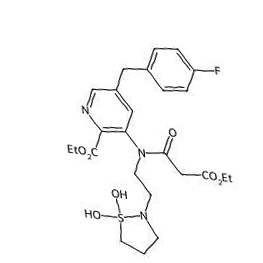 CCOC(=O)CC(=O)N(CCN1CCCS1(O)O)c1cc(Cc2ccc(F)cc2)cnc1C(=O)OCC